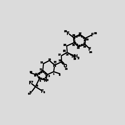 CC1c2nc(C(F)(F)F)n(C)c2CCN1C(=O)C[C@H](N)Cc1cc(F)c(F)cc1F